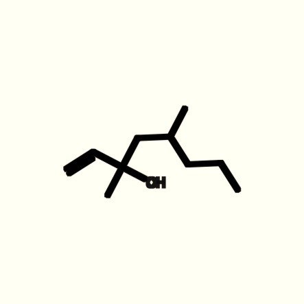 C=CC(C)(O)CC(C)CCC